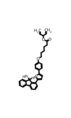 C=CC(C=C)OC(=O)CCCCCOc1ccc(-c2ccc(-c3cccc4c3C(CCC)(CCC)c3ccccc3-4)s2)cc1